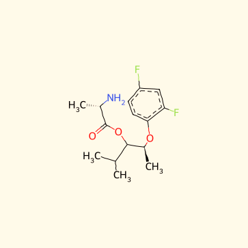 CC(C)C(OC(=O)[C@H](C)N)[C@H](C)Oc1ccc(F)cc1F